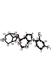 Fc1ccc(-n2ccc3c(OC4C5CNCC4COC5)ncnc32)c(F)c1